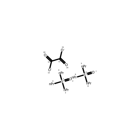 CCC[S+](=O)(CCC)CCC.CCC[S+](=O)(CCC)CCC.O=C([O-])C(=O)[O-]